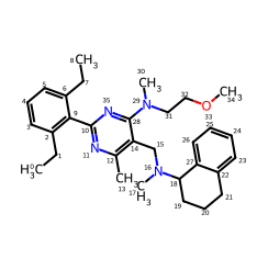 CCc1cccc(CC)c1-c1nc(C)c(CN(C)C2CCCc3ccccc32)c(N(C)CCOC)n1